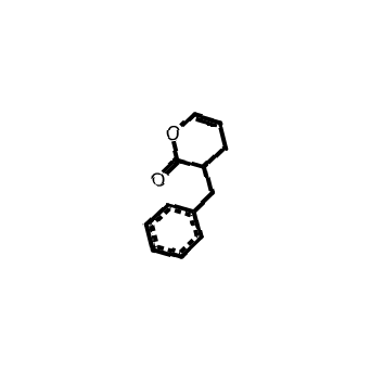 O=C1OC=CCC1Cc1ccccc1